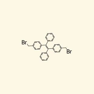 BrCc1ccc(/C(=C(\c2ccccc2)c2ccc(CBr)cc2)c2ccccc2)cc1